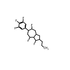 CCCC1CC2CC(F)C(c3cc(F)c(F)c(F)c3)CC(F)C2C1F